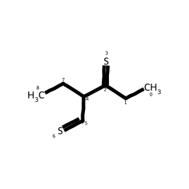 CCC(=S)C([C]=S)CC